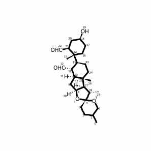 CC1CC[C@@]2(OC1)O[C@H]1C[C@H]3[C@H](C=O)[C@@H]([C@@]4(C)CC[C@H](O)C[C@@H]4C=O)CC[C@]3(C)[C@H]1[C@@H]2C